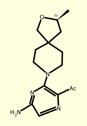 CC(=O)c1ncc(N)nc1N1CCC2(CC1)CO[C@@H](C)C2